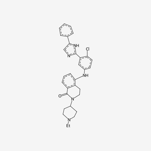 CCN1CCC(N2CCc3c(Nc4ccc(Cl)c(-c5ncc(-c6ccccc6)[nH]5)c4)cccc3C2=O)CC1